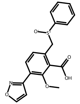 COc1c(-c2ccon2)ccc(C[S+]([O-])c2ccccc2)c1C(=O)O